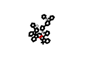 CC1(C)C2=C(C=CCC2)c2c(-c3ccccc3N(c3cccc(-c4ccc5c6ccccc6n(-c6ccccc6)c5c4)c3)c3ccc4c(c3)C(c3ccccc3)(c3ccc5oc6ccccc6c5c3)C3C=CC=CC43)cccc21